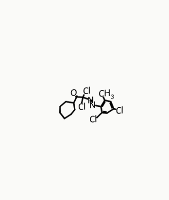 Cc1cc(Cl)cc(Cl)c1N=NC(Cl)(Cl)C(=O)C1CCCCCC1